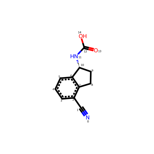 N#Cc1cccc2c1CC[C@H]2NC(=O)O